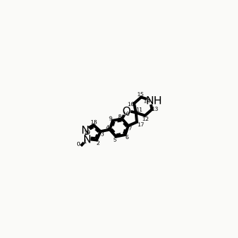 Cn1cc(-c2ccc3c(c2)OC2(CCNCC2)C3)cn1